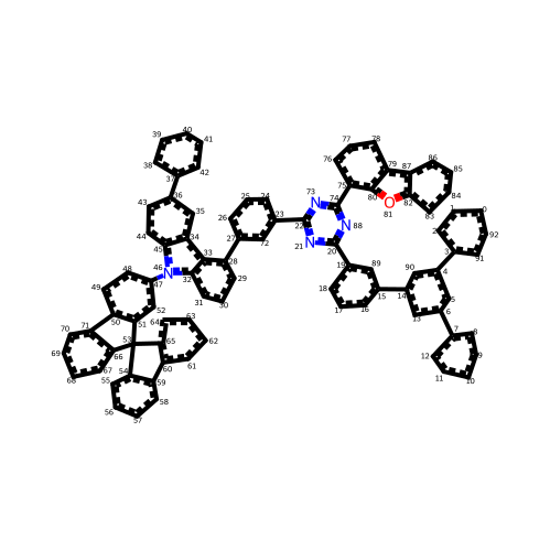 c1ccc(-c2cc(-c3ccccc3)cc(-c3cccc(-c4nc(-c5cccc(-c6cccc7c6c6cc(-c8ccccc8)ccc6n7-c6ccc7c(c6)C6(c8ccccc8-c8ccccc86)c6ccccc6-7)c5)nc(-c5cccc6c5oc5ccccc56)n4)c3)c2)cc1